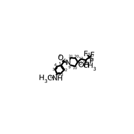 CNc1ccc(C(=O)N2CCC(O)(CC(C)C(F)(F)F)CC2)cc1